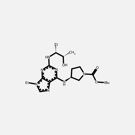 CC[C@@H](Nc1nc(N[C@H]2CCN(C(=O)OC(C)(C)C)C2)c2ncn(CC)c2n1)[C@H](C)O